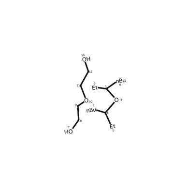 CCCCC(CC)OC(CC)CCCC.OCCOCCO